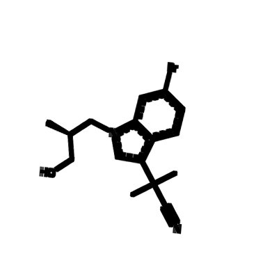 C[C@H](CO)Cn1cc(C(C)(C)C#N)c2ccc(Br)cc21